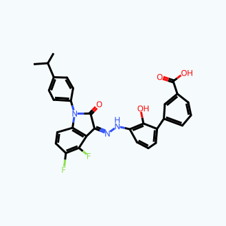 CC(C)c1ccc(N2C(=O)/C(=N\Nc3cccc(-c4cccc(C(=O)O)c4)c3O)c3c2ccc(F)c3F)cc1